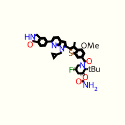 COc1cc(C(=O)N2C[C@H](F)C[C@@H](OC(N)=O)C2C(C)(C)C)cc2sc(-c3cc4ccc(-c5ccc6c(c5)CNC6=O)nc4n3CC3CC3)c(C)c12